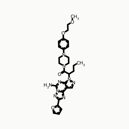 CCCC(C(=O)N1CCN(c2ccc(OCCOC)cc2)CC1)n1ncc2c1nc(N)n1nc(-c3ccco3)nc21